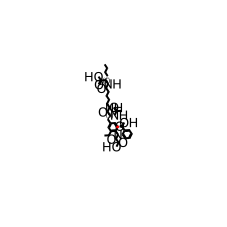 CCCC[C@H](NC(=O)CCCCNC(=O)[C@H](Cc1ccc(N(C(=O)C(=O)O)c2ccccc2C(=O)O)c(CC)c1)NC(C)=O)C(=O)O